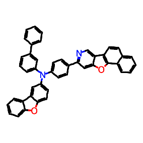 c1ccc(-c2cccc(N(c3ccc(-c4cc5oc6c7ccccc7ccc6c5cn4)cc3)c3ccc4oc5ccccc5c4c3)c2)cc1